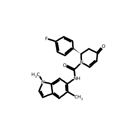 Cc1cc2ccn(C)c2cc1NC(=O)N1C=CC(=O)C[C@H]1c1ccc(F)cc1